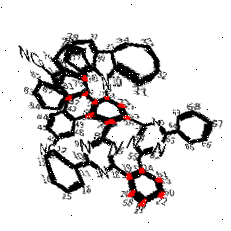 N#Cc1ccc(-c2cc(-c3nc(-c4ccccc4)nc(-c4ccccc4)n3)ccc2-n2c3ccccc3c3ccccc32)c(-c2ccc(C#N)cc2-c2cc(-c3nc(-c4ccccc4)nc(-c4ccccc4)n3)ccc2-n2c3ccccc3c3ccccc32)c1